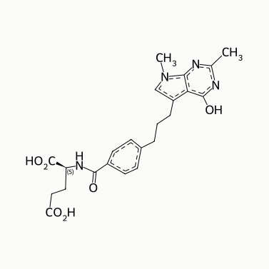 Cc1nc(O)c2c(CCCc3ccc(C(=O)N[C@@H](CCC(=O)O)C(=O)O)cc3)cn(C)c2n1